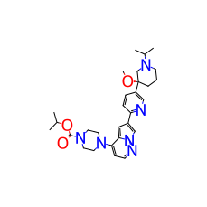 CO[C@]1(c2ccc(-c3cc4c(N5CCN(C(=O)OC(C)C)CC5)ccnn4c3)nc2)CCCN(C(C)C)C1